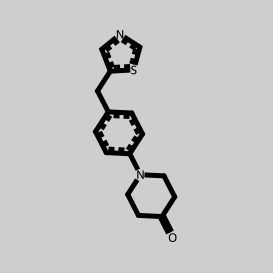 O=C1CCN(c2ccc(Cc3cncs3)cc2)CC1